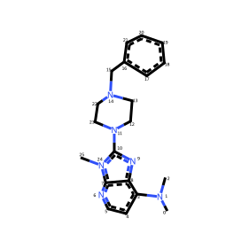 CN(C)c1ccnc2c1nc(N1CCN(Cc3ccccc3)CC1)n2C